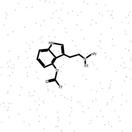 CCCN(CC)CCc1c[nH]c2cccc(OC(=O)CC)c12